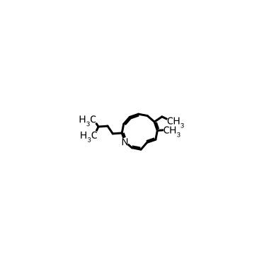 CC/C1=C(C)/C=C/C=C\N=C(\CCC(C)C)C=C=CC1